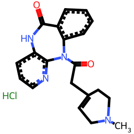 CN1CC=C(CC(=O)N2c3ccccc3C(=O)Nc3cccnc32)CC1.Cl